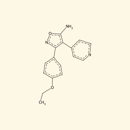 CCOc1ccc(-c2noc(N)c2-c2ccncc2)cc1